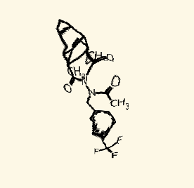 CC(=O)N(Cc1ccc(C(F)(F)F)cc1)N1C(=O)C2C3C(C)=C(C)C(C4CC43)C2C1=O